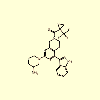 NC1CCCN(c2nc3c(c(-c4c[nH]c5ccccc45)n2)CCN(C(=O)C2(C(F)(F)F)CC2)C3)C1